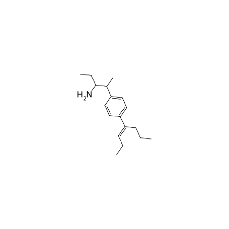 CC/C=C(\CCC)c1ccc(C(C)C(N)CC)cc1